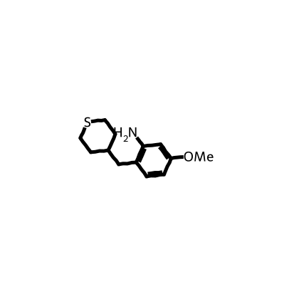 COc1ccc(CC2CCSCC2)c(N)c1